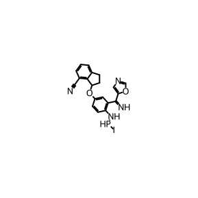 N#Cc1cccc2c1C(Oc1ccc(NPI)c(C(=N)c3cnco3)c1)CC2